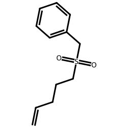 C=CCCCS(=O)(=O)Cc1ccccc1